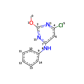 COc1nc(Cl)cc(Nc2ccccc2)n1